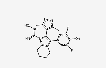 Cc1noc(C)c1-c1c(-c2cc(F)c(O)c(F)c2)c2c(n1C(=N)NO)CCCC2